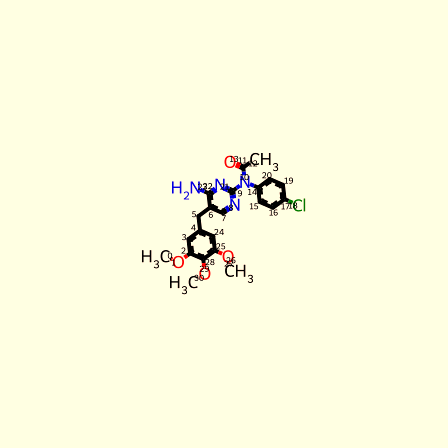 COc1cc(Cc2cnc(N(C(C)=O)c3ccc(Cl)cc3)nc2N)cc(OC)c1OC